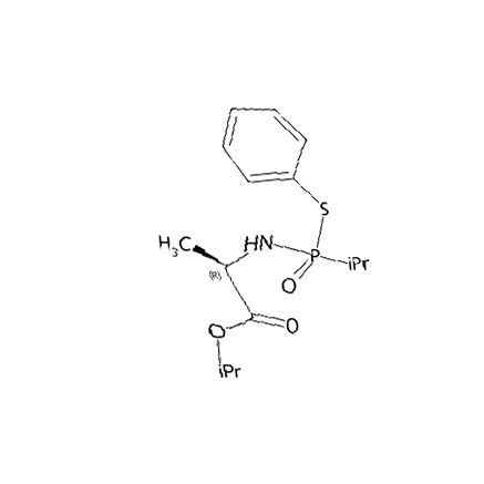 CC(C)OC(=O)[C@@H](C)NP(=O)(Sc1ccccc1)C(C)C